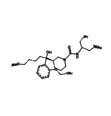 CNCC(CC(C)C)NC(=O)N1CCC[C@@H](C(O)(CCCCOC)c2ccccc2OCC(C)(C)C)C1